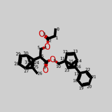 CCC(=O)OCC(C(=O)OCC12C=CC(C1)C(c1ccccc1)=C2)C1=C(C)C2C=CC1C2